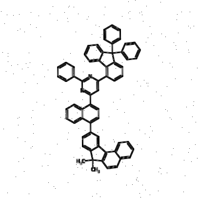 CC1(C)c2ccc(-c3ccc(-c4cc(-c5cccc6c5-c5ccccc5C6(c5ccccc5)c5ccccc5)nc(-c5ccccc5)n4)c4ccccc34)cc2-c2c1ccc1ccccc21